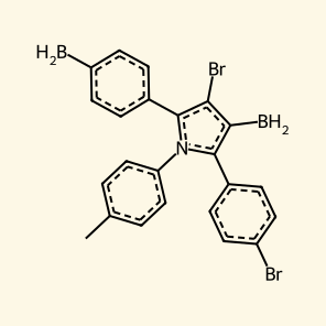 Bc1ccc(-c2c(Br)c(B)c(-c3ccc(Br)cc3)n2-c2ccc(C)cc2)cc1